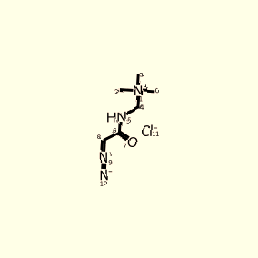 C[N+](C)(C)CNC(=O)C=[N+]=[N-].[Cl-]